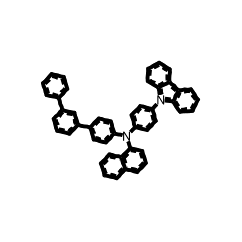 c1ccc(-c2cccc(-c3ccc(N(c4ccc(-n5c6ccccc6c6ccccc65)cc4)c4cccc5ccccc45)cc3)c2)cc1